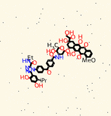 CCNC(=O)c1nnc(-c2cc(C(C)C)c(O)cc2O)n1-c1ccc(C(=O)c2ccc(C(=O)NC3CC(O[C@H]4C[C@](O)(C(=O)CO)Cc5c(O)c6c(c(O)c54)C(=O)c4c(OC)cccc4C6=O)OC(C)C3O)cc2)cc1